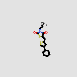 C=CCN1C(=O)S/C(=C\c2cc(-c3ccccc3)cs2)C1=O